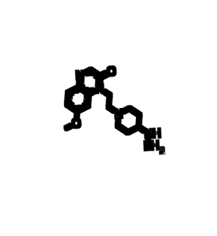 BNC1CCN(CCn2c(=O)cnc3ccc(OC)cc32)CC1